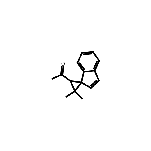 CC(=O)C1C(C)(C)C12C=Cc1ccccc12